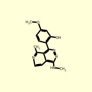 CNc1nnc(-c2ccc(OC)cc2O)c2c(C)nccc12